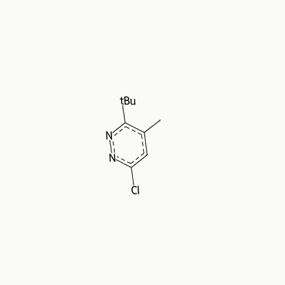 Cc1cc(Cl)nnc1C(C)(C)C